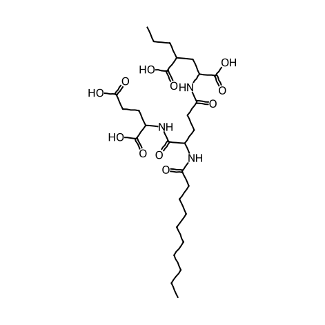 CCCCCCCCCC(=O)NC(CCC(=O)NC(CC(CCC)C(=O)O)C(=O)O)C(=O)NC(CCC(=O)O)C(=O)O